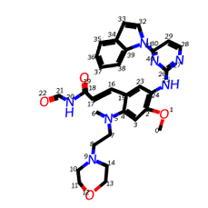 COc1cc(N(C)CCN2CCOCC2)c(C=CC(=O)NC=O)cc1Nc1nccc(-n2ccc3ccccc32)n1